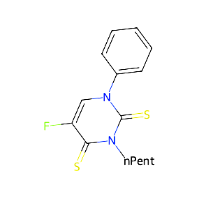 CCCCCn1c(=S)c(F)cn(-c2ccccc2)c1=S